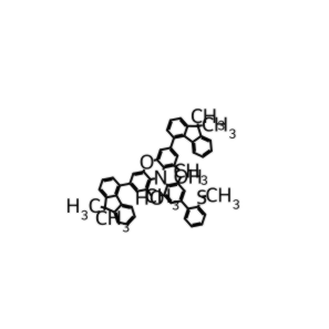 CSc1ccccc1-c1cc(O)c(N2c3c(C)cc(-c4cccc5c4-c4ccccc4C5(C)C)cc3Oc3cc(-c4cccc5c4-c4ccccc4C5(C)C)cc(C)c32)c(O)c1